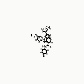 CCC(CC)c1cc2c(N[C@H]3CC[C@H](N)CC3)c(C(=O)Nc3ccc(F)cc3)cnc2[nH]1